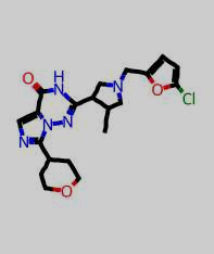 CC1CN(Cc2ccc(Cl)o2)CC1c1nn2c(C3CCOCC3)ncc2c(=O)[nH]1